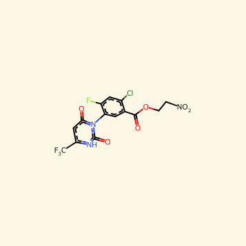 O=C(OCC[N+](=O)[O-])c1cc(-n2c(=O)cc(C(F)(F)F)[nH]c2=O)c(F)cc1Cl